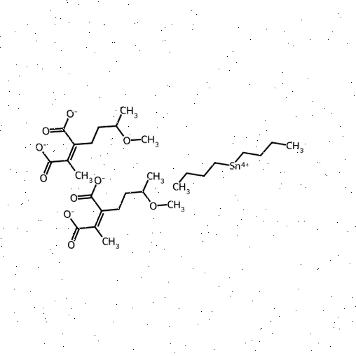 CCC[CH2][Sn+4][CH2]CCC.COC(C)CC/C(C(=O)[O-])=C(\C)C(=O)[O-].COC(C)CC/C(C(=O)[O-])=C(\C)C(=O)[O-]